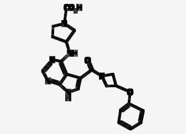 O=C(O)N1CCC(Nc2ncnc3[nH]cc(C(=O)N4CC(Oc5ccccc5)C4)c23)C1